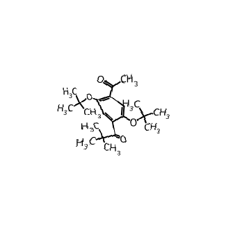 CC(=O)c1cc(OC(C)(C)C)c(C(=O)C(C)(C)C)cc1OC(C)(C)C